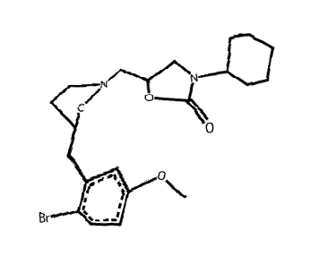 COc1ccc(Br)c(CC2CCN(CC3CN(C4CCCCC4)C(=O)O3)C2)c1